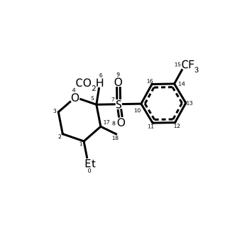 CCC1CCOC(C(=O)O)(S(=O)(=O)c2cccc(C(F)(F)F)c2)C1C